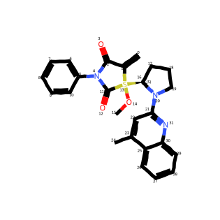 C=C1C(=O)N(c2ccccc2)C(=O)S1(OC)[C@H]1CCCN1c1cc(C)c2ccccc2n1